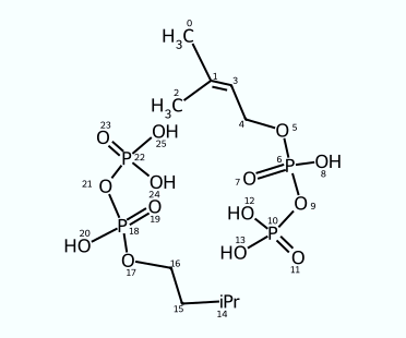 CC(C)=CCOP(=O)(O)OP(=O)(O)O.CC(C)CCOP(=O)(O)OP(=O)(O)O